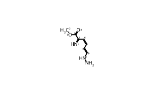 COC(=O)C(=N)/C=C\C=C\NN